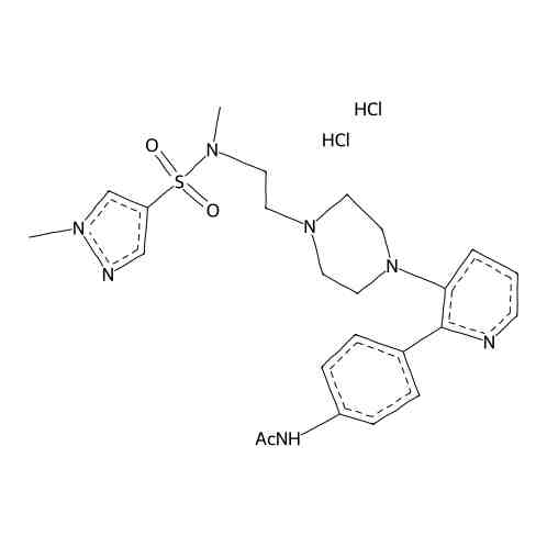 CC(=O)Nc1ccc(-c2ncccc2N2CCN(CCN(C)S(=O)(=O)c3cnn(C)c3)CC2)cc1.Cl.Cl